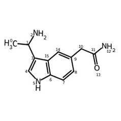 CC(N)c1c[nH]c2ccc(CC(N)=O)cc12